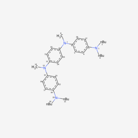 CCCCN(CCCC)c1ccc(N(C)c2ccc(N(C)c3ccc(N(CCCC)CCCC)cc3)cc2)cc1